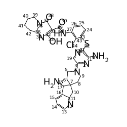 Nc1nc(N2CCC3(CC2)Cc2ncccc2[C@H]3N)cnc1Sc1cccc(NC(=O)c2c(O)nc3n(c2=O)CCCC3)c1Cl